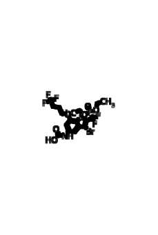 CCOP(=O)(OCC)C(F)(F)c1sc2c(OCCCC(F)(F)F)cc(NC(=O)O)cc2c1Br